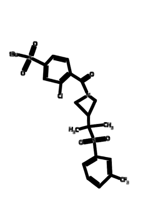 CC(C)(C)S(=O)(=O)c1ccc(C(=O)N2CC(C(C)(C)S(=O)(=O)c3cccc(C(F)(F)F)c3)C2)c(Cl)c1